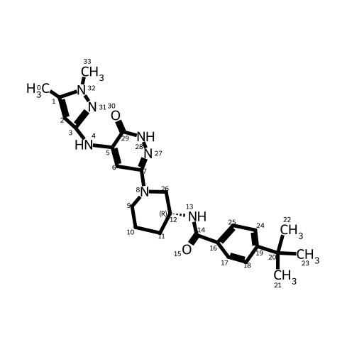 Cc1cc(Nc2cc(N3CCC[C@@H](NC(=O)c4ccc(C(C)(C)C)cc4)C3)n[nH]c2=O)nn1C